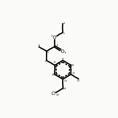 CCOC(=O)C(C)Cc1ccc(C)c(CCl)c1